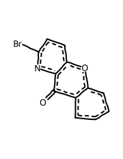 O=c1c2ccccc2oc2ccc(Br)nc12